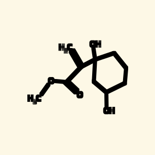 C=C(C(=O)OC)C1(O)CCCC(O)C1